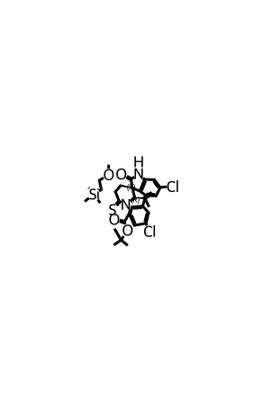 C=C(C)[C@H]1N(CC(=O)OC(C)(C)C)C(=S)CC[C@]12C(=O)Nc1cc(Cl)cc(-c3cccc(Cl)c3)c12.COCC[Si](C)(C)C